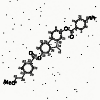 CCCc1ccc(C(=O)Oc2ccc3c(c2)C(C)c2cc(OC(=O)c4ccc(CCOC)cc4)ccc2-3)cc1